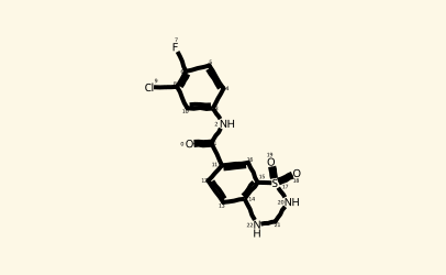 O=C(Nc1ccc(F)c(Cl)c1)c1ccc2c(c1)S(=O)(=O)NCN2